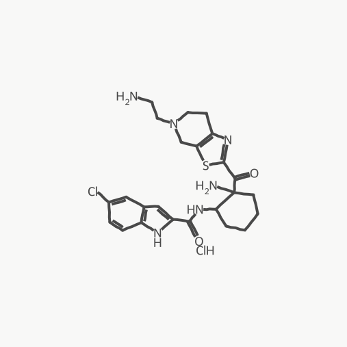 Cl.NCCN1CCc2nc(C(=O)C3(N)CCCCC3NC(=O)c3cc4cc(Cl)ccc4[nH]3)sc2C1